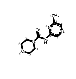 Cc1cncc(NC(=O)N2CCOCC2)n1